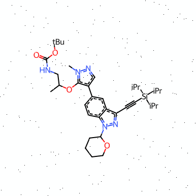 CC(CNC(=O)OC(C)(C)C)Oc1c(-c2ccc3c(c2)c(C#C[Si](C(C)C)(C(C)C)C(C)C)nn3C2CCCCO2)cnn1C